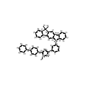 Cn1nc(-c2cccc(-n3c4ccccc4c4cc5c(cc43)-c3ccccc3C5(C)C)c2)nc1-c1ccc(-c2ccccc2)cc1